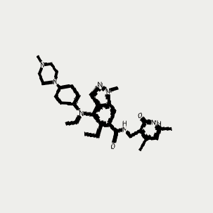 CCc1c(C(=O)NCc2c(C)cc(C)[nH]c2=O)cc2c(cnn2C)c1N(CC)C1CCC(N2CCN(C)CC2)CC1